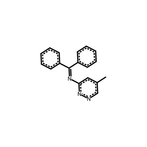 Cc1cnnc(N=C(c2ccccc2)c2ccccc2)c1